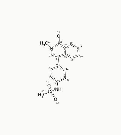 Cn1nc(-c2ccc(NS(C)(=O)=O)cc2)c2ccccc2c1=O